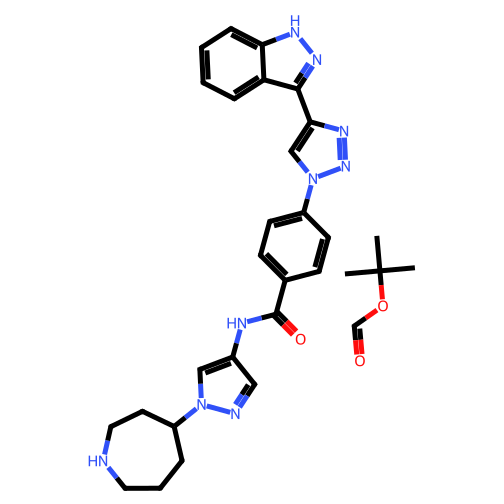 CC(C)(C)OC=O.O=C(Nc1cnn(C2CCCNCC2)c1)c1ccc(-n2cc(-c3n[nH]c4ccccc34)nn2)cc1